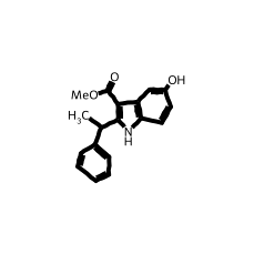 COC(=O)c1c(C(C)c2ccccc2)[nH]c2ccc(O)cc12